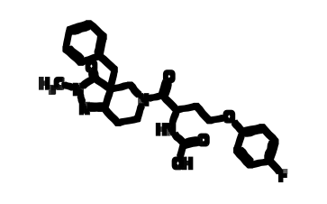 CN1N=C2CCN(C(=O)C(CCOc3ccc(F)cc3)NC(=O)O)CC2(Cc2ccccc2)C1=O